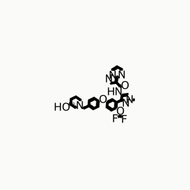 Cn1cc(NC(=O)c2cnn3cccnc23)c(-c2cc(Oc3ccc(CN4CCC[C@@H](O)C4)cc3)ccc2OC(F)F)n1